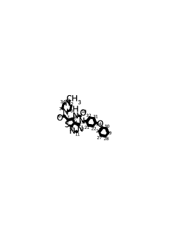 CN1CCN(C(=O)c2sc3ncnc4c3c2NC(=O)N4c2ccc(Oc3ccccc3)cc2)CC1